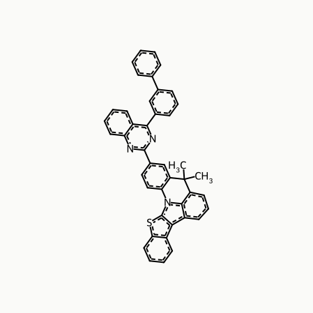 CC1(C)c2cc(-c3nc(-c4cccc(-c5ccccc5)c4)c4ccccc4n3)ccc2-n2c3sc4ccccc4c3c3cccc1c32